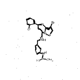 CB(O)Nc1cccc(CNc2cc(-c3ccccc3Cl)nc3c(Br)cnn23)c1